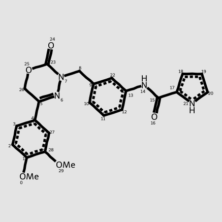 COc1ccc(C2=NN(Cc3cccc(NC(=O)c4ccc[nH]4)c3)C(=O)OC2)cc1OC